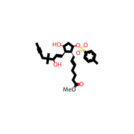 CC#CCC(C)(C)[C@H](O)C=C[C@@H]1[C@@H](CC=CCCCC(=O)OC)[C@H](OS(=O)(=O)c2ccc(C)cc2)C[C@H]1O